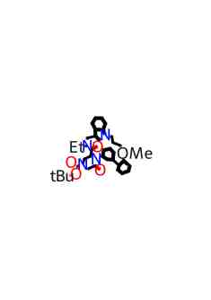 CCN(Cc1cn(CCCOC)c2ccccc12)C(=O)C1CN(C(=O)OC(C)(C)C)CC(=O)N1c1cccc(-c2ccccc2)c1